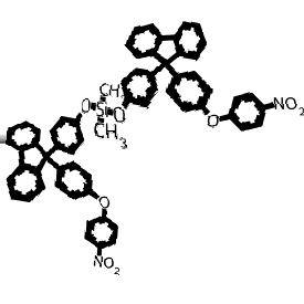 C[Si](C)(Oc1ccc(C2(c3ccc(Oc4ccc([N+](=O)[O-])cc4)cc3)c3ccccc3-c3ccccc32)cc1)Oc1ccc(C2(c3ccc(Oc4ccc([N+](=O)[O-])cc4)cc3)c3ccccc3-c3ccccc32)cc1